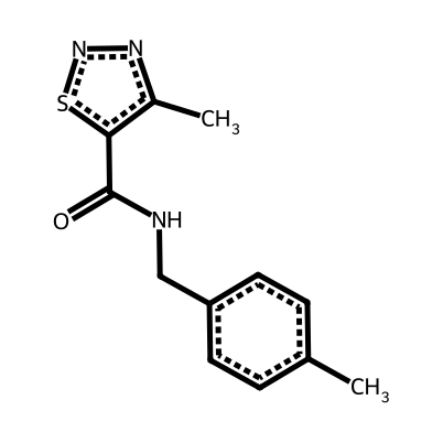 Cc1ccc(CNC(=O)c2snnc2C)cc1